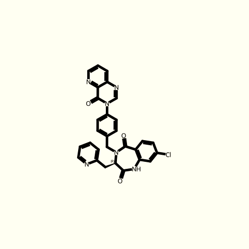 O=C1Nc2cc(Cl)ccc2C(=O)N(Cc2ccc(-n3cnc4cccnc4c3=O)cc2)[C@@H]1Cc1ccccn1